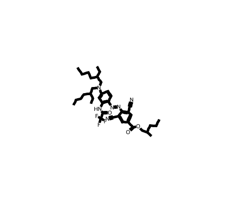 CCCCC(CC)CN(CC(CC)CCCC)c1ccc(N=Nc2c(C#N)cc(C(=O)OCC(C)CCC)cc2C#N)c(NC(=O)C(F)(F)F)c1